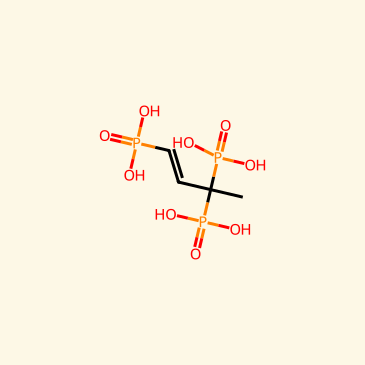 CC(C=CP(=O)(O)O)(P(=O)(O)O)P(=O)(O)O